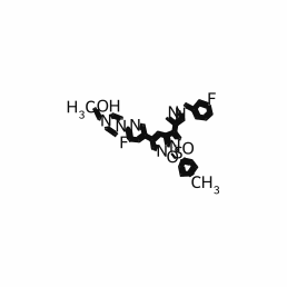 Cc1ccc(S(=O)(=O)n2cc(-c3cnn(Cc4cccc(F)c4)c3)c3cc(-c4cnc(N5CCN(C[C@@H](C)O)CC5)c(F)c4)cnc32)cc1